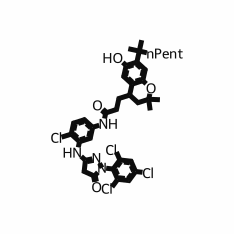 CCCCCC(C)(C)c1cc2c(cc1O)C(CCC(=O)Nc1ccc(Cl)c(NC3=NN(c4c(Cl)cc(Cl)cc4Cl)C(=O)C3)c1)CC(C)(C)O2